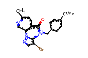 COc1ccc(Cn2c(=O)c3cc(C)ncc3n3ncc(Br)c23)cc1